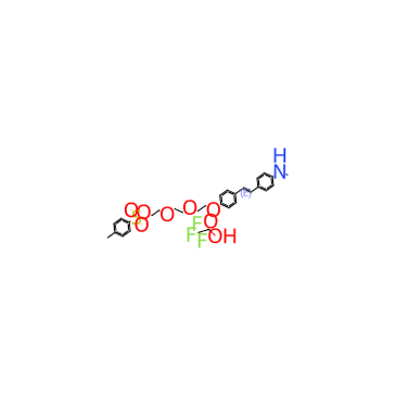 CNc1ccc(/C=C/c2ccc(OCCOCCOCCOS(=O)(=O)c3ccc(C)cc3)cc2)cc1.O=C(O)C(F)(F)F